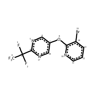 FC(F)(F)C(F)(F)c1ncc(Oc2ncccc2Br)cn1